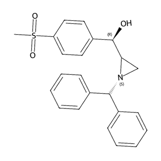 CS(=O)(=O)c1ccc([C@@H](O)C2C[N@]2C(c2ccccc2)c2ccccc2)cc1